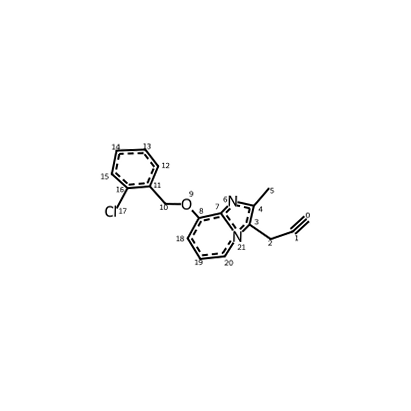 C#CCc1c(C)nc2c(OCc3ccccc3Cl)cccn12